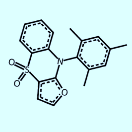 Cc1cc(C)c(N2c3ccccc3S(=O)(=O)c3ccoc32)c(C)c1